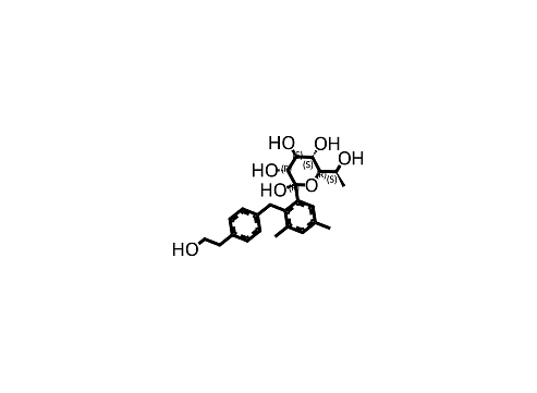 Cc1cc(C)c(Cc2ccc(CCO)cc2)c([C@@]2(O)O[C@H]([C@H](C)O)[C@@H](O)[C@H](O)[C@H]2O)c1